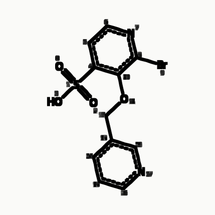 O=S(=O)(O)c1ccnc(Br)c1OCc1cccnc1